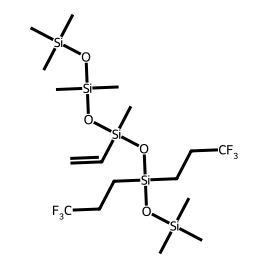 C=C[Si](C)(O[Si](C)(C)O[Si](C)(C)C)O[Si](CCC(F)(F)F)(CCC(F)(F)F)O[Si](C)(C)C